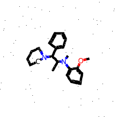 COc1ccccc1N(C)C(C)C(c1ccccc1)N1CCCCC1